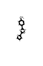 Cc1ccc(-c2nnc(-c3ccco3)o2)cc1